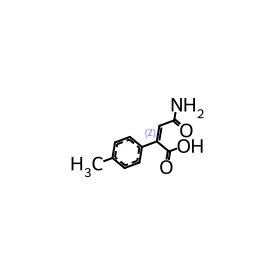 Cc1ccc(/C(=C/C(N)=O)C(=O)O)cc1